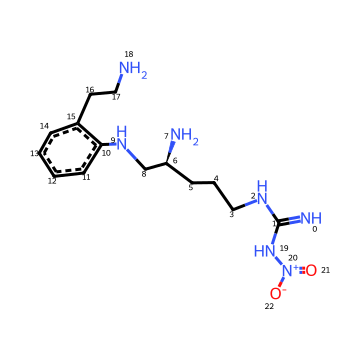 N=C(NCCC[C@H](N)CNc1ccccc1CCN)N[N+](=O)[O-]